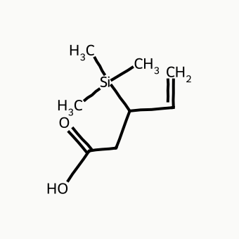 C=CC(CC(=O)O)[Si](C)(C)C